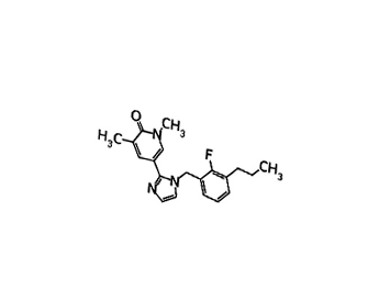 CCCc1cccc(Cn2ccnc2-c2cc(C)c(=O)n(C)c2)c1F